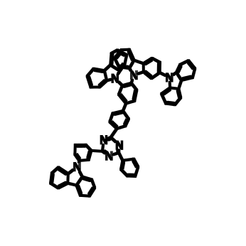 c1ccc(-c2nc(-c3ccc(-c4ccc(-n5c6ccccc6c6ccc(-n7c8ccccc8c8ccccc87)cc65)c(-n5c6ccccc6c6ccccc65)c4)cc3)nc(-c3cccc(-n4c5ccccc5c5ccccc54)c3)n2)cc1